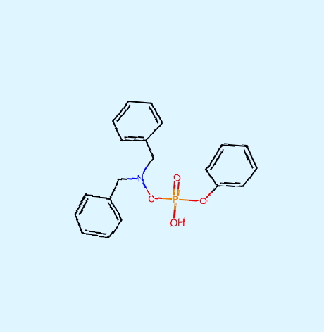 O=P(O)(Oc1ccccc1)ON(Cc1ccccc1)Cc1ccccc1